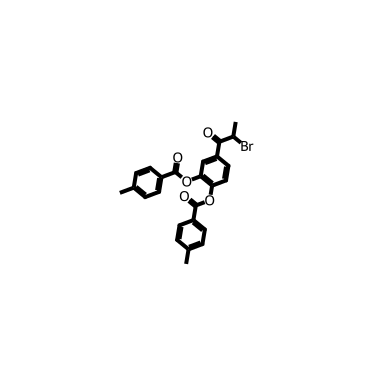 Cc1ccc(C(=O)Oc2ccc(C(=O)C(C)Br)cc2OC(=O)c2ccc(C)cc2)cc1